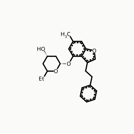 CCC1C[C@H](O)C[C@H](Oc2cc(C)cc3occ(CCc4ccccc4)c23)O1